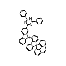 c1ccc(-c2nc(-c3ccccc3)nc(-c3ccc4c5ccccc5n(-c5cccc6c5-c5ccccc5C65c6cccc7ccc8cccc5c8c67)c4c3)n2)cc1